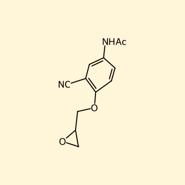 CC(=O)Nc1ccc(OCC2CO2)c(C#N)c1